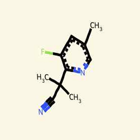 Cc1cnc(C(C)(C)C#N)c(F)c1